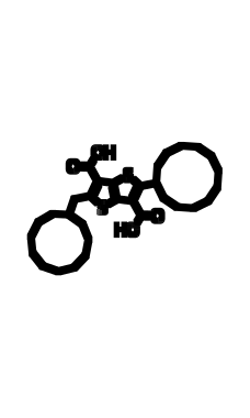 O=C(O)c1c(CC2CCCCCCCCCC2)sc2c(C(=O)O)c(C3CCCCCCCCCCC3)sc12